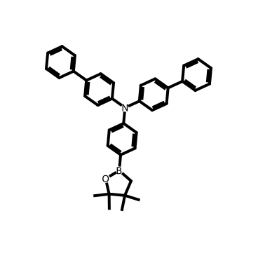 CC1(C)CB(c2ccc(N(c3ccc(-c4ccccc4)cc3)c3ccc(-c4ccccc4)cc3)cc2)OC1(C)C